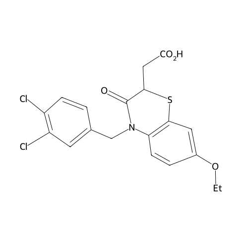 CCOc1ccc2c(c1)SC(CC(=O)O)C(=O)N2Cc1ccc(Cl)c(Cl)c1